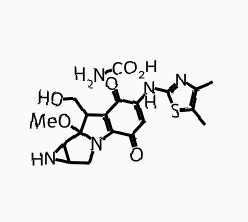 COC12C(CO)C3=C(C(=O)C=C(Nc4nc(C)c(C)s4)C3=O)N1CC1NC12.NC(=O)O